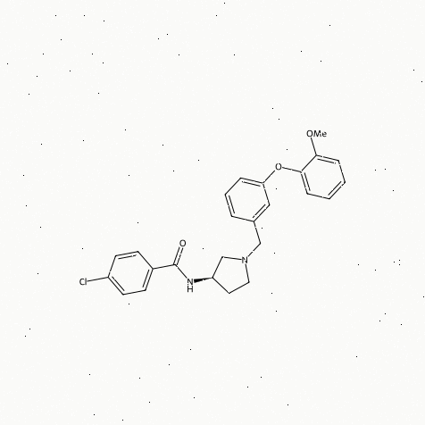 COc1ccccc1Oc1cccc(CN2CC[C@@H](NC(=O)c3ccc(Cl)cc3)C2)c1